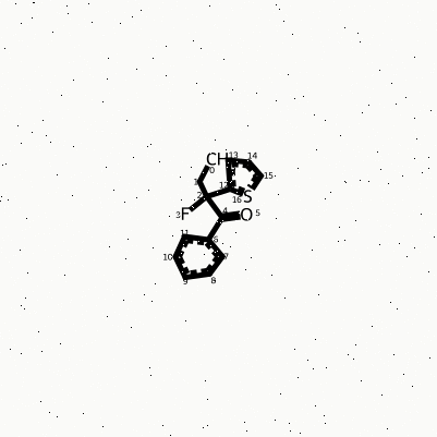 CCC(F)(C(=O)c1ccccc1)c1cccs1